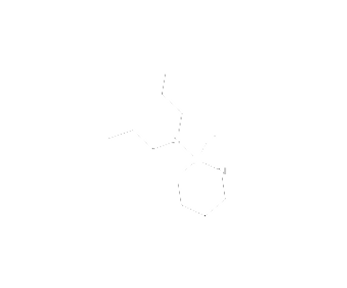 O[P]1(N(CCCl)CCCl)NCCCO1